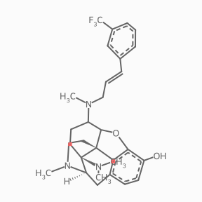 CN(C/C=C/c1cccc(C(F)(F)F)c1)C1CC[C@@]2(N(C)C)[C@H]3Cc4ccc(O)c5c4[C@@]2(CCN3C)C1O5